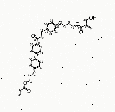 C=CC(=O)OCCOc1ccc(-c2ccc(C(=O)/C=C/c3ccc(OCCCOC(=O)C(=C)CO)cc3)cc2)cc1